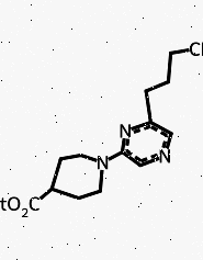 CCOC(=O)C1CCN(c2cncc(CCCC#N)n2)CC1